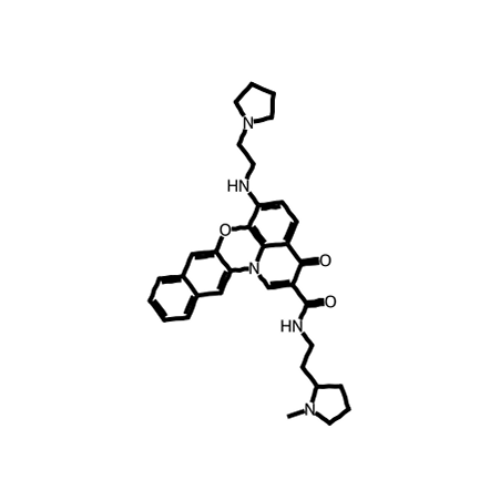 CN1CCCC1CCNC(=O)c1cn2c3c(c(NCCN4CCCC4)ccc3c1=O)Oc1cc3ccccc3cc1-2